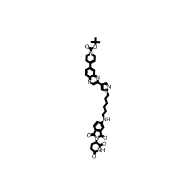 CC(C)(C)OC(=O)N1CC=C(c2ccc3ncc(-c4cnn(CCCCCCNc5ccc6c(c5)C(=O)N(C5CCC(=O)NC5=O)C6=O)c4)nc3c2)CC1